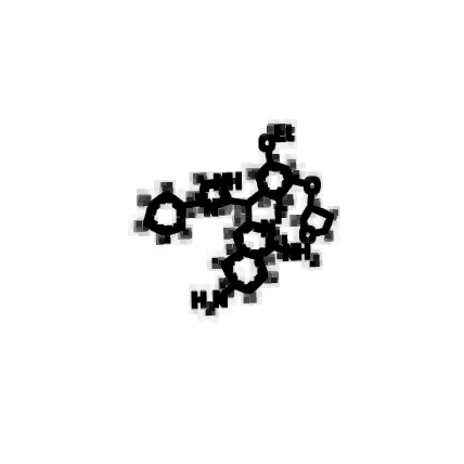 CCOc1cc(OC2CCOC2)c(F)c(C(c2cc3cc(N)ccc3c(N)n2)c2nc(-c3ccccc3)c[nH]2)c1